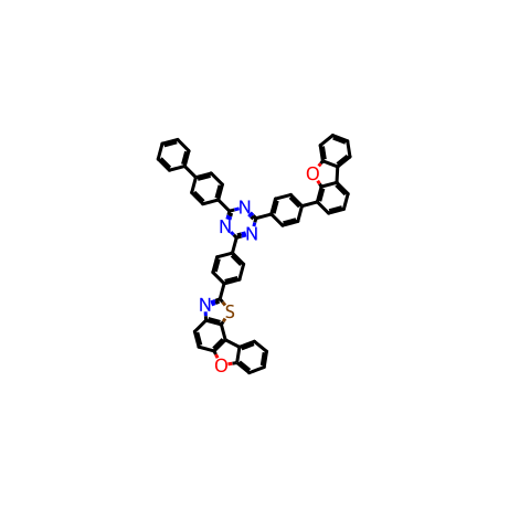 c1ccc(-c2ccc(-c3nc(-c4ccc(-c5nc6ccc7oc8ccccc8c7c6s5)cc4)nc(-c4ccc(-c5cccc6c5oc5ccccc56)cc4)n3)cc2)cc1